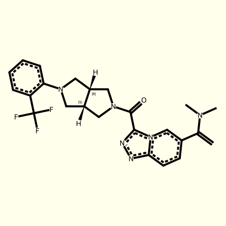 C=C(c1ccc2nnc(C(=O)N3C[C@@H]4CN(c5ccccc5C(F)(F)F)C[C@@H]4C3)n2c1)N(C)C